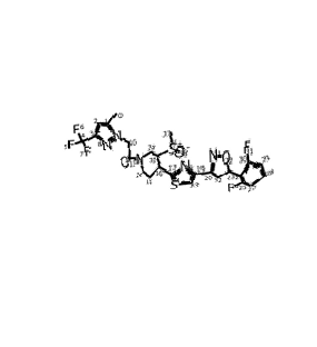 Cc1cc(C(F)(F)F)nn1CC(=O)N1CCC(c2nc(C3=NOC(c4c(F)cccc4F)C3)cs2)C([S+](C)[O-])C1